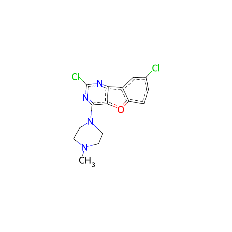 CN1CCN(c2nc(Cl)nc3c2oc2ccc(Cl)cc23)CC1